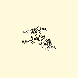 CN(C(=O)OC(C)(C)C)[C@@H]1[C@@H](O)[C@@H](O[C@@H]2[C@@H](O)[C@H](O[C@H]3OC(CNCC(O)CO)=CC[C@H]3N)[C@@H](N)C[C@H]2NC(=O)[C@H](O)CCN)OC[C@]1(C)O